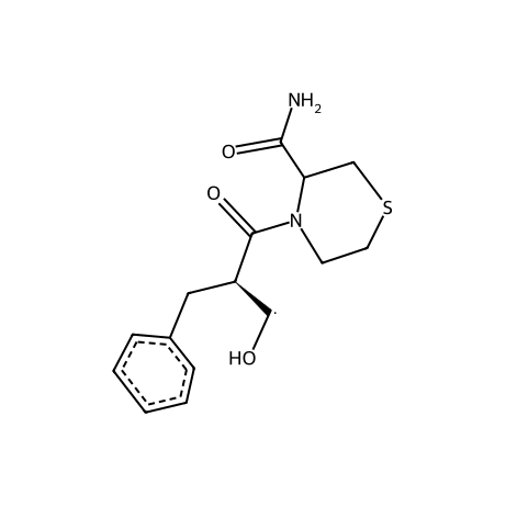 NC(=O)C1CSCCN1C(=O)[C@@H]([CH]O)Cc1ccccc1